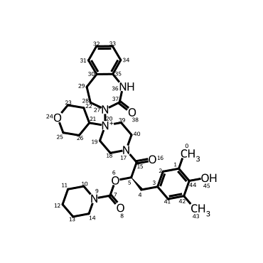 Cc1cc(C[C@@H](OC(=O)N2CCCCC2)C(=O)N2CC[N+](C3CCOCC3)(N3CCc4ccccc4NC3=O)CC2)cc(C)c1O